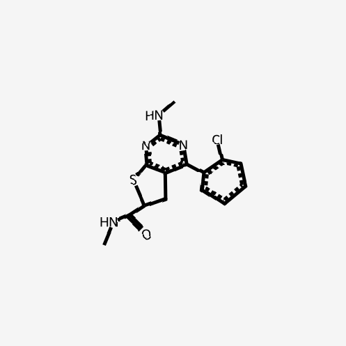 CNC(=O)C1Cc2c(nc(NC)nc2-c2ccccc2Cl)S1